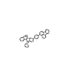 c1ccc(-n2c3ccc(-c4ccc(-c5ccc6c7c(cccc57)-c5ccccc5-6)cc4)cc3c3ncc4ccccc4c32)cc1